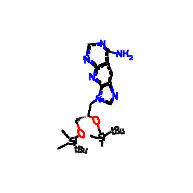 CC(C)(C)[Si](C)(C)OC[C@H](Cn1cnc2cc3c(N)ncnc3nc21)O[Si](C)(C)C(C)(C)C